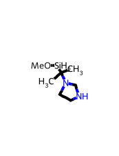 CO[SiH2]C(C)(C)N1CCNC1